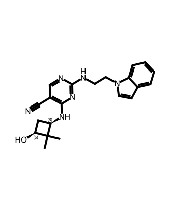 CC1(C)[C@@H](O)C[C@H]1Nc1nc(NCCn2ccc3ccccc32)ncc1C#N